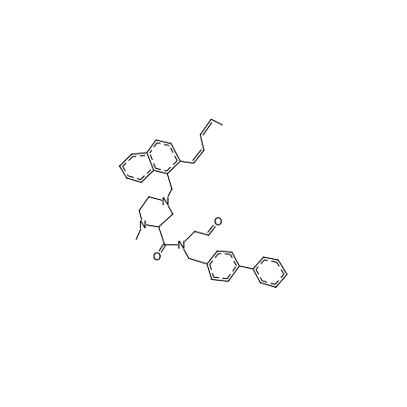 C/C=C\C=C/c1ccc2ccccc2c1CN1CCN(C)C(C(=O)N(CC=O)Cc2ccc(-c3ccccc3)cc2)C1